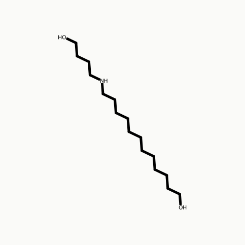 OCCCCCCCCCCCCNCCCCO